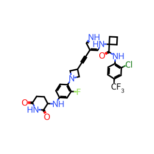 N=C/C(C#CC1CN(c2ccc(NC3CCC(=O)NC3=O)cc2F)C1)=C\NC1(C(=O)Nc2ccc(C(F)(F)F)cc2Cl)CCC1